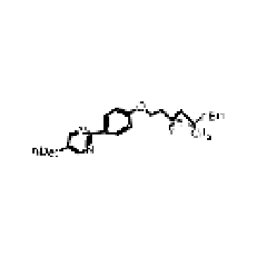 CCCCCCCCCCc1cnc(-c2ccc(OCC[C@H](F)C[C@H](C)CCCC)cc2)nc1